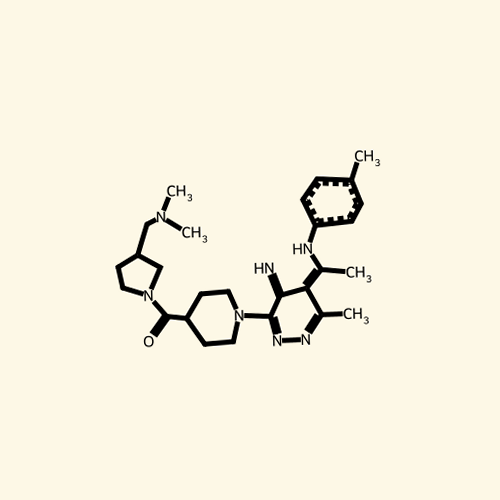 CC1=NN=C(N2CCC(C(=O)N3CCC(CN(C)C)C3)CC2)C(=N)/C1=C(/C)Nc1ccc(C)cc1